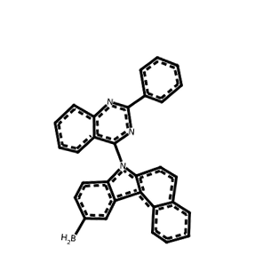 Bc1ccc2c(c1)c1c3ccccc3ccc1n2-c1nc(-c2ccccc2)nc2ccccc12